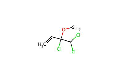 C=CC(Cl)(O[SiH3])C(Cl)Cl